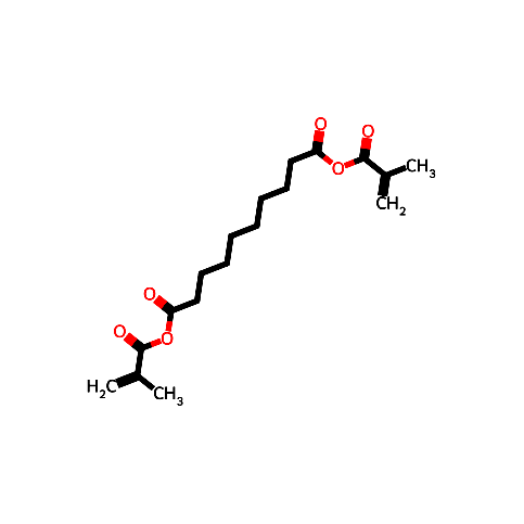 C=C(C)C(=O)OC(=O)CCCCCCCCC(=O)OC(=O)C(=C)C